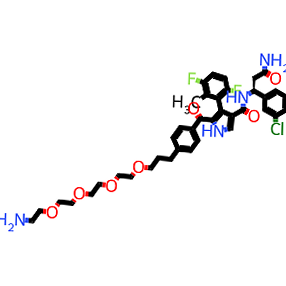 Cc1c(F)ccc(F)c1-c1c(C(=O)N[C@@H](CC(N)=O)c2cccc(Cl)c2)c[nH]c1C(=O)c1ccc(CCCOCCOCCOCCOCCN)cc1